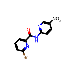 O=C(Nc1ccc([N+](=O)[O-])cn1)c1cccc(Br)n1